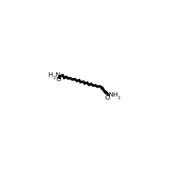 NC(=O)C#CC#CCCCCCCCCCCCCCCCCCCCC(N)=O